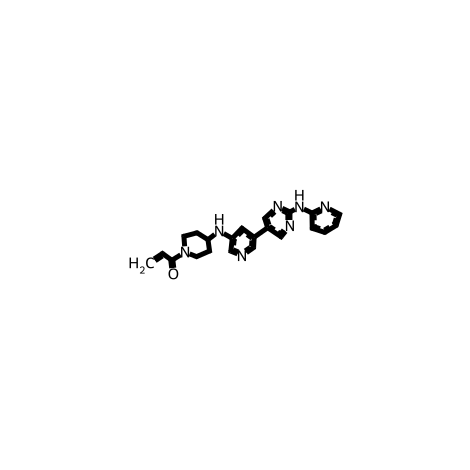 C=CC(=O)N1CCC(Nc2cncc(-c3cnc(Nc4ccccn4)nc3)c2)CC1